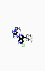 CC(C)c1cnc(Nc2cnn(C)c2)c2cnc(Cl)cc12